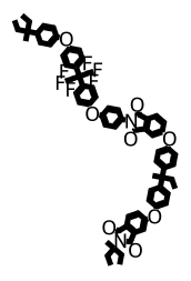 CCC(C)(c1ccc(Oc2ccc3c(c2)C(=O)N(c2ccc(Oc4ccc(C(c5ccc(OC6=CCC(C(C)(CC)CC)C=C6)cc5)(C(F)(F)F)C(F)(F)F)cc4)cc2)C3=O)cc1)c1ccc(Oc2ccc3c(c2)C(=O)N(C(C)(CC)CC)C3=O)cc1